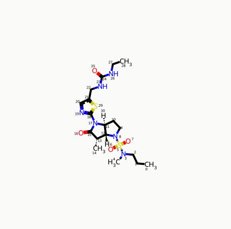 CCCN(C)S(=O)(=O)N1CC[C@H]2[C@H]1[C@H](C)C(=O)N2c1ncc(CNC(=O)NCC)s1